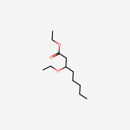 CCCCCC(CC(=O)OCC)OCC